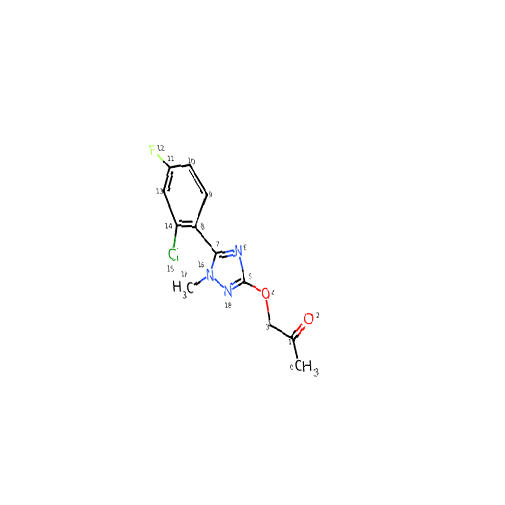 CC(=O)COc1nc(-c2ccc(F)cc2Cl)n(C)n1